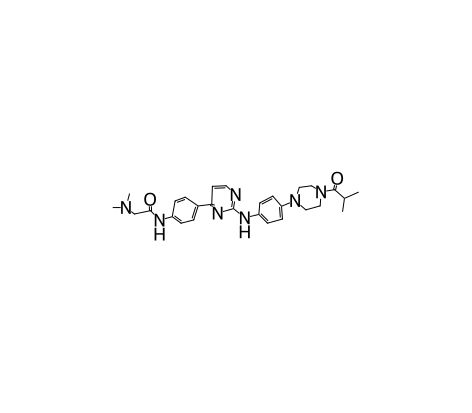 CC(C)C(=O)N1CCN(c2ccc(Nc3nccc(-c4ccc(NC(=O)CN(C)C)cc4)n3)cc2)CC1